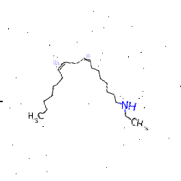 CCCCCC/C=C\C/C=C\CCCCCCCNCC